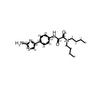 CCCCN(CCCC)C(=O)C(=O)Nc1ccc(-c2csc(N)n2)cc1